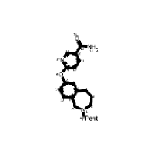 CCCCCN1CCCc2cc(Oc3ccc(C(N)=O)cn3)ccc2C1